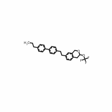 CCCc1ccc(-c2ccc(CCc3ccc4c(c3)COC(OC(F)(F)F)C4)cc2)cc1